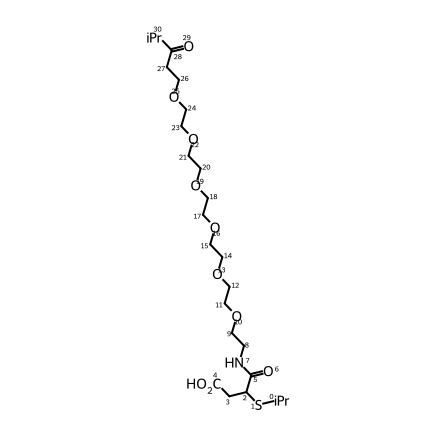 CC(C)SC(CC(=O)O)C(=O)NCCOCCOCCOCCOCCOCCOCCC(=O)C(C)C